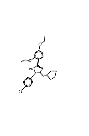 CCOc1ccc(C2=NC(CC3CCCC3)C(c3ccc(Cl)cc3)N2)c(OCC)c1